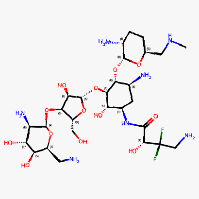 CNC[C@@H]1CC[C@@H](N)[C@@H](O[C@H]2[C@H](O[C@@H]3O[C@H](CO)[C@@H](O[C@H]4O[C@@H](CN)[C@@H](O)[C@H](O)[C@H]4N)[C@H]3O)[C@@H](O)[C@H](NC(=O)[C@@H](O)C(F)(F)CN)C[C@@H]2N)O1